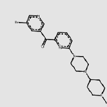 CN1CCC(N2CCN(c3cccc(C(=O)c4cncc(Br)c4)n3)CC2)CC1